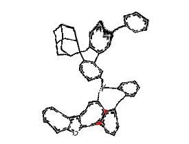 c1ccc(-c2ccc3c(c2)-c2cc(N(c4ccc5oc6ccccc6c5c4)c4ccccc4-c4ccccc4)ccc2C32C3CC4CC(C3)CC2C4)cc1